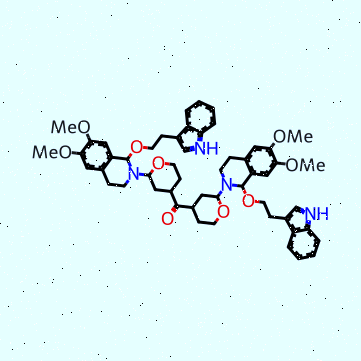 COc1cc2c(cc1OC)C(OCCc1c[nH]c3ccccc13)N(C1CC(C(=O)C3CCOC(N4CCc5cc(OC)c(OC)cc5C4OCCc4c[nH]c5ccccc45)C3)CCO1)CC2